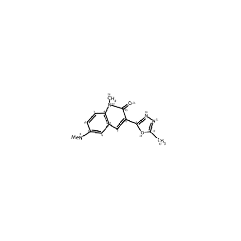 CNc1ccc2c(c1)cc(-c1nnc(C)o1)c(=O)n2C